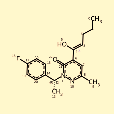 CCC/C=C(\O)c1cc(C)nn([C@H](C)c2ccc(F)cc2)c1=O